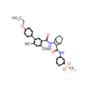 COc1cc(C#N)c(-c2ccc(OCC(=O)O)cc2)cc1C(=O)NC1C2CCC(C2)C1C(=O)Nc1cccc(S(=O)(=O)C(F)(F)F)c1